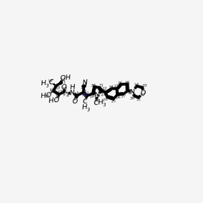 C/C(=C(/C#N)C(=O)NC[C@H]1OC(O)[C@H](C)[C@@H](O)[C@@H]1O)c1ccc(-c2ccc3cc(N4CCOCC4)ccc3c2)n1C